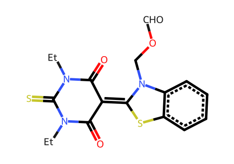 CCN1C(=O)C(=C2Sc3ccccc3N2COC=O)C(=O)N(CC)C1=S